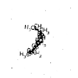 COC(=O)C(N)COC(=O)OC1CC[C@@]2(C)C(=CC[C@H]3[C@@H]4CC[C@H]([C@H](C)CCCC(C)C)[C@H]4CC[C@@H]32)C1